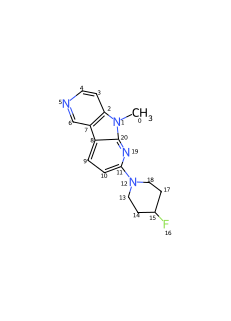 Cn1c2ccncc2c2ccc(N3CCC(F)CC3)nc21